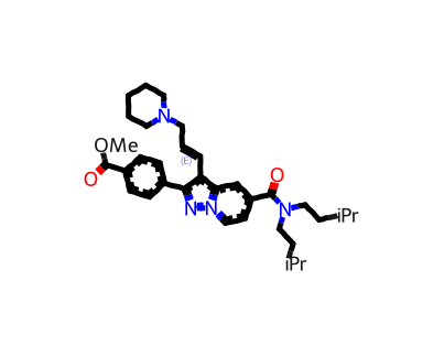 COC(=O)c1ccc(-c2nn3ccc(C(=O)N(CCC(C)C)CCC(C)C)cc3c2/C=C/CN2CCCCC2)cc1